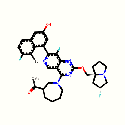 CCc1c(F)ccc2cc(O)cc(-c3ncc4c(N5CCCCC(C(=O)OC)C5)nc(OC[C@@]56CCCN5C[C@H](F)C6)nc4c3F)c12